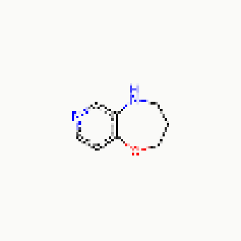 c1cc2c(cn1)NCCCO2